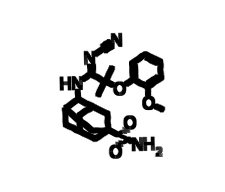 COc1ccccc1OC(C)(C)/C(=N\C#N)NC1C2CC3CC1CC(S(N)(=O)=O)(C3)C2